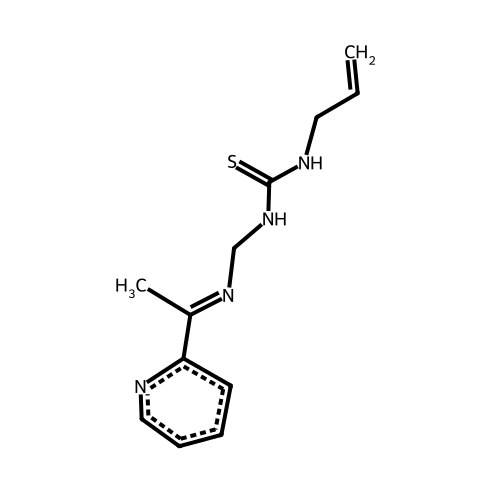 C=CCNC(=S)NC/N=C(\C)c1ccccn1